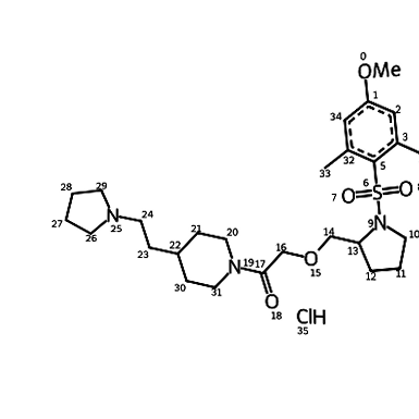 COc1cc(C)c(S(=O)(=O)N2CCCC2COCC(=O)N2CCC(CCN3CCCC3)CC2)c(C)c1.Cl